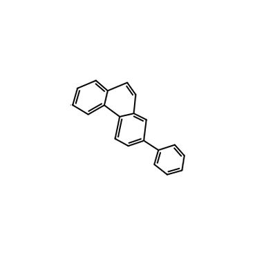 [c]1ccc2ccc3cc(-c4ccccc4)ccc3c2c1